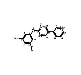 Fc1cc(F)cc(Oc2ncc(-c3cccnc3)cn2)c1